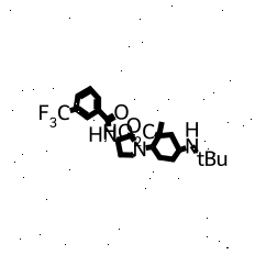 CC(C)(C)NC1CCC(N2CCC(NC(=O)c3cccc(C(F)(F)F)c3)C2=O)C(C)(C(=O)O)C1